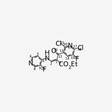 CCOC(=O)C(=CNc1ccncc1F)C(=O)c1cc(F)c(Cl)nc1Cl